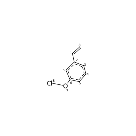 C=Cc1cccc(OCl)c1